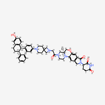 O=C1CCC(N2Cc3cc4c(cc3C2=O)OC[C@@H]2CN(C(=O)CN3CC5(CCN(c6ccc([C@@H]7c8ccc(O)cc8CC[C@@H]7c7ccccc7)cc6)CC5)C3)CCN42)C(=O)N1